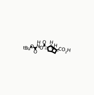 CC(C)(C)OC(=O)NOC(=O)[C@H]1CC2C[C@@]3(C(=O)O)[C@H]1[C@@H]23